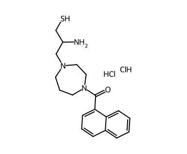 Cl.Cl.NC(CS)CN1CCCN(C(=O)c2cccc3ccccc23)CC1